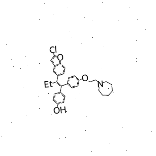 CCC(=C(c1ccc(O)cc1)c1ccc(OCCN2CCCCCC2)cc1)c1ccc2oc(Cl)cc2c1